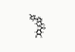 Cc1nsc(-c2nnc3n2CCN(C(=O)c2ccc(F)c(C)c2)[C@@H]3C)n1